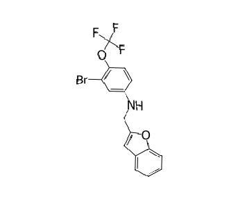 FC(F)(F)Oc1ccc(NCc2cc3ccccc3o2)cc1Br